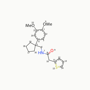 COc1ccc(C2(CNC(=O)Cc3cccs3)CCCC2)cc1OC